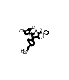 Cc1c(C(=O)NN2CCCCC2)nn(-c2ccc(Cl)cc2Cl)c1-c1ccc(C#CC(C)(C)C)cc1